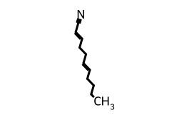 CCCCC=CCCC=CC#N